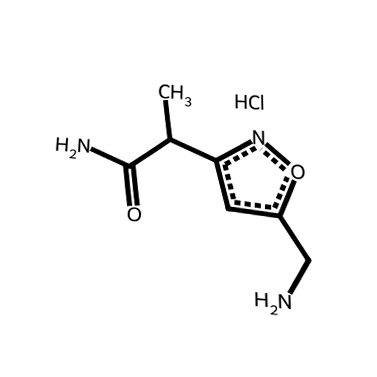 CC(C(N)=O)c1cc(CN)on1.Cl